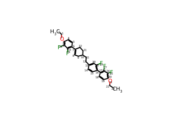 CCOc1ccc(C2=CCC(CCc3ccc(-c4ccc(OCC)c(F)c4F)c(F)c3)CC2)c(F)c1F